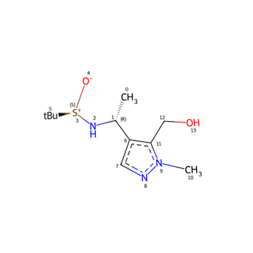 C[C@@H](N[S@+]([O-])C(C)(C)C)c1cnn(C)c1CO